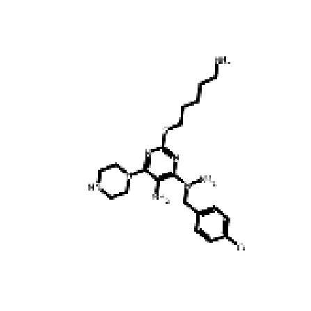 NCCCCCSc1nc(N(N)Cc2ccc(Cl)cc2)c(N)c(N2CCNCC2)n1